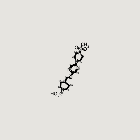 CS(=O)(=O)N1CCN(c2cnc(OCC3CCN(C(=O)O)CC3)cn2)CC1